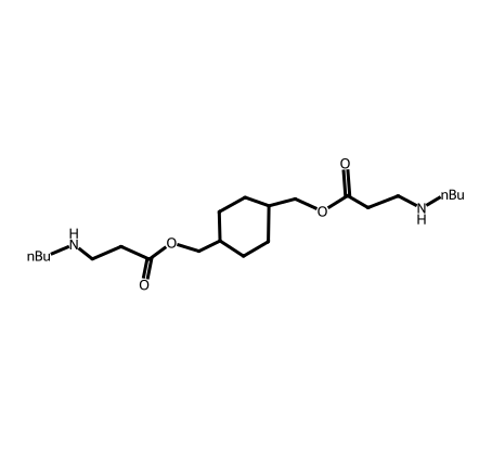 CCCCNCCC(=O)OCC1CCC(COC(=O)CCNCCCC)CC1